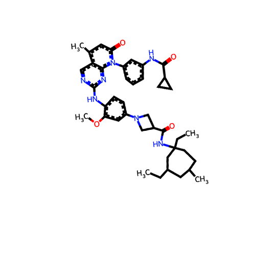 CCC1CC(C)CCC(CC)(NC(=O)C2CN(c3ccc(Nc4ncc5c(C)cc(=O)n(-c6cccc(NC(=O)C7CC7)c6)c5n4)c(OC)c3)C2)C1